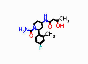 Cc1cc(F)ccc1C1CC(NC(=O)C[C@@H](C)O)CCN1C(N)=O